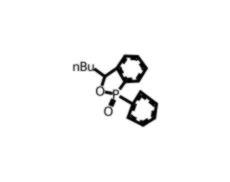 CCCCC1OP(=O)(c2ccccc2)c2ccccc21